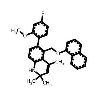 COc1cc(F)ccc1-c1ccc2c(c1COc1cccc3ccccc13)C(C)=CC(C)(C)N2